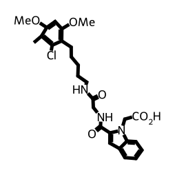 COc1cc(OC)c(CCCCCNC(=O)CNC(=O)c2cc3ccccc3n2CC(=O)O)c(Cl)c1C